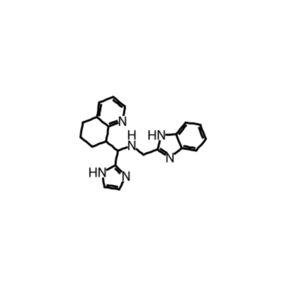 c1cnc2c(c1)CCCC2C(NCc1nc2ccccc2[nH]1)c1ncc[nH]1